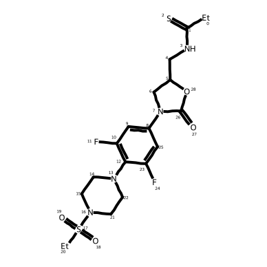 CCC(=S)NCC1CN(c2cc(F)c(N3CCN(S(=O)(=O)CC)CC3)c(F)c2)C(=O)O1